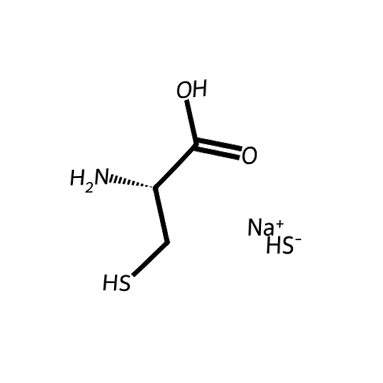 N[C@@H](CS)C(=O)O.[Na+].[SH-]